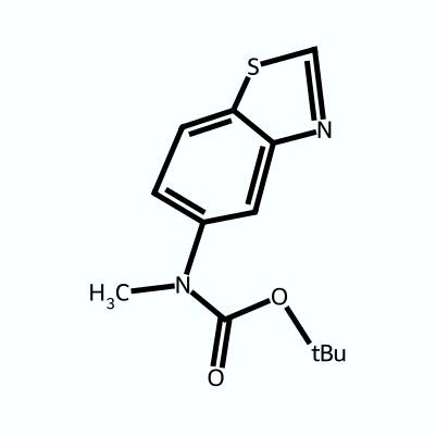 CN(C(=O)OC(C)(C)C)c1ccc2scnc2c1